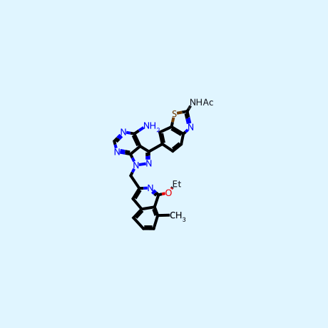 CCOc1nc(Cn2nc(-c3ccc4nc(NC(C)=O)sc4c3)c3c(N)ncnc32)cc2cccc(C)c12